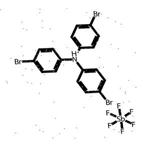 Brc1ccc([NH+](c2ccc(Br)cc2)c2ccc(Br)cc2)cc1.[F][Sb-]([F])([F])([F])([F])[F]